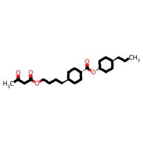 CCC[C@H]1CC[C@H](OC(=O)[C@H]2CC[C@H](CCCCOC(=O)CC(C)=O)CC2)CC1